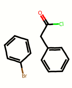 Brc1ccccc1.O=C(Cl)Cc1ccccc1